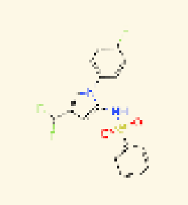 O=S(=O)(Nc1cc(C(F)F)cn1-c1ccc(F)cc1)c1ccccc1